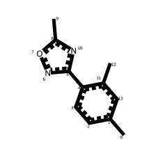 Cc1ccc(-c2noc(C)n2)c(C)c1